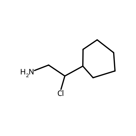 NCC(Cl)C1CCCCC1